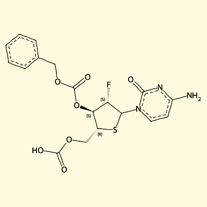 Nc1ccn(C2S[C@H](COC(=O)O)[C@@H](OC(=O)OCc3ccccc3)[C@@H]2F)c(=O)n1